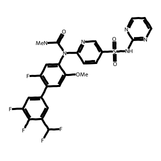 CNC(=O)N(c1ccc(S(=O)(=O)Nc2ncccn2)cn1)c1cc(F)c(-c2cc(F)c(F)c(C(F)F)c2)cc1OC